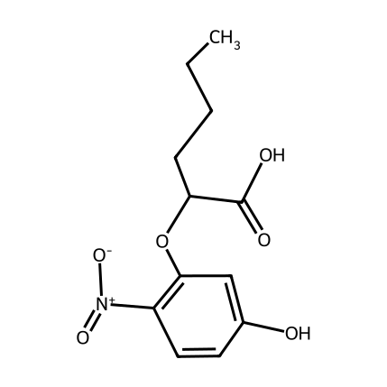 CCCCC(Oc1cc(O)ccc1[N+](=O)[O-])C(=O)O